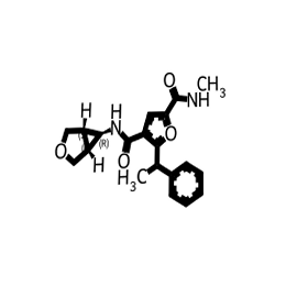 CNC(=O)c1cc(C(=O)N[C@H]2[C@@H]3COC[C@@H]32)c(C(C)c2ccccc2)o1